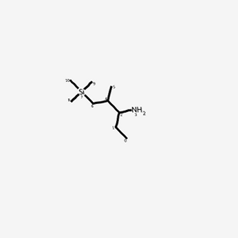 CCC(N)C(C)C[Si](C)(C)C